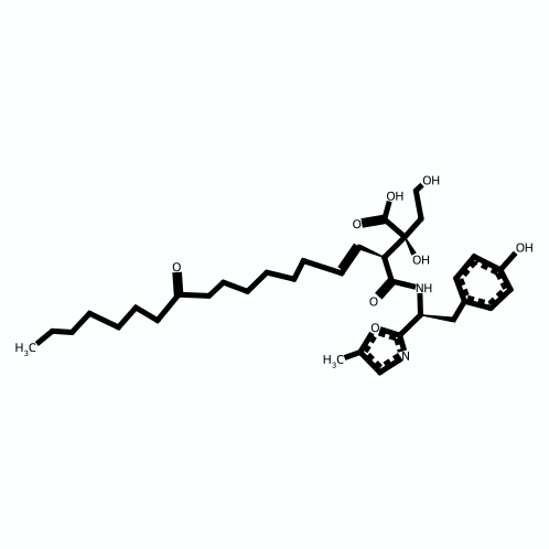 CCCCCCCC(=O)CCCCCCC=C[C@H](C(=O)N[C@@H](Cc1ccc(O)cc1)c1ncc(C)o1)[C@@](O)(CCO)C(=O)O